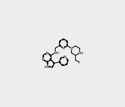 FCC1CN(c2cccc(CNc3ncnc4[nH]cc(-c5cccnc5)c34)n2)CCN1